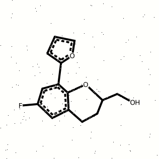 OCC1CCc2cc(F)cc(-c3ccco3)c2O1